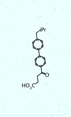 CC(C)Cc1ccc(-c2ccc(C(=O)CCC(=O)O)cc2)cc1